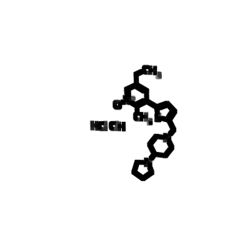 CCc1cc(-c2ccc(CN3CCC(N4CCCC4)CC3)s2)c(C)[n+]([O-])c1.Cl.Cl